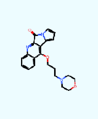 O=C1c2nc3ccccc3c(OCCCN3CCOCC3)c2-c2cccn21